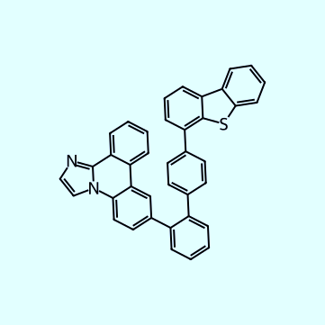 c1ccc(-c2ccc3c(c2)c2ccccc2c2nccn32)c(-c2ccc(-c3cccc4c3sc3ccccc34)cc2)c1